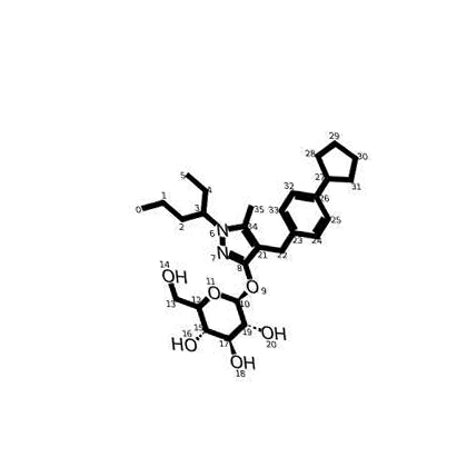 CCCC(CC)n1nc(O[C@@H]2OC(CO)[C@@H](O)[C@H](O)[C@H]2O)c(Cc2ccc(C3CCCC3)cc2)c1C